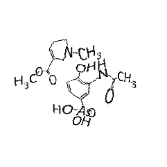 CC(=O)Nc1cc([As](=O)(O)O)ccc1O.COC(=O)C1=CCCN(C)C1